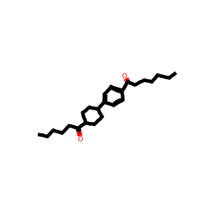 CCCCCCC(=O)c1ccc(C2CCC(C(=O)CCCCC)CC2)cc1